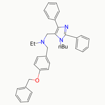 CCCCn1c(-c2ccccc2)nc(-c2ccccc2)c1CN(CC)Cc1ccc(OCc2ccccc2)cc1